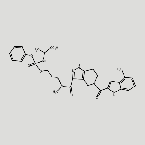 Cc1cccc2[nH]c(C(=O)N3CCc4[nH]nc(C(=O)N(C)OCCOP(=O)(NC(C)C(=O)O)Oc5ccccc5)c4C3)cc12